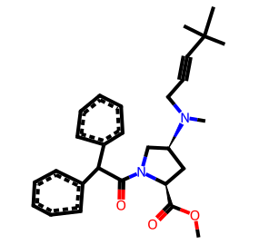 COC(=O)[C@@H]1C[C@H](N(C)CC#CC(C)(C)C)CN1C(=O)C(c1ccccc1)c1ccccc1